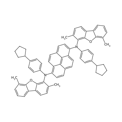 Cc1ccc2c(oc3c(C)cccc32)c1N(c1ccc(C2CCCC2)cc1)c1ccc2ccc3c(N(c4ccc(C5CCCC5)cc4)c4c(C)ccc5c4oc4c(C)cccc45)ccc4ccc1c2c43